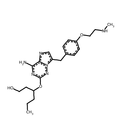 CCCC(CCO)Oc1nc(N)c2ncc(Cc3ccc(OCCNC)cc3)n2n1